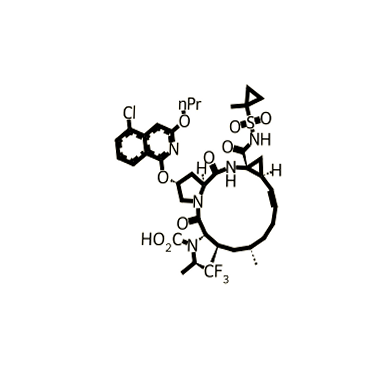 CCCOc1cc2c(Cl)cccc2c(O[C@@H]2C[C@H]3C(=O)N[C@]4(C(=O)NS(=O)(=O)C5(C)CC5)C[C@H]4/C=C\CC[C@H](C)C[C@@H](C)[C@H](N(C(=O)O)[C@H](C)C(F)(F)F)C(=O)N3C2)n1